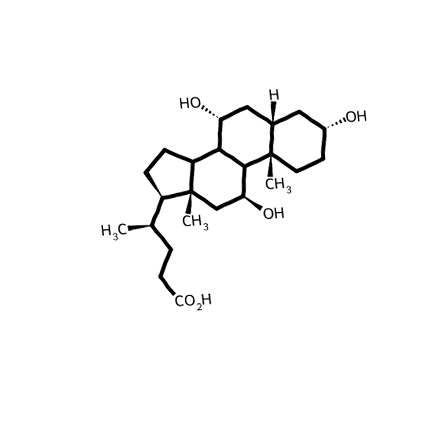 C[C@H](CCC(=O)O)[C@H]1CCC2C3C([C@@H](O)C[C@@]21C)[C@@]1(C)CC[C@@H](O)C[C@H]1C[C@H]3O